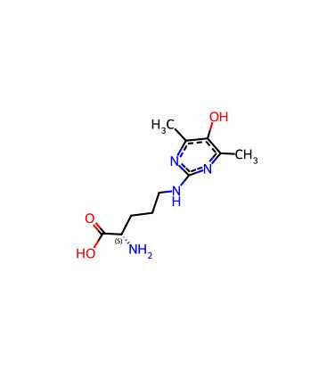 Cc1nc(NCCC[C@H](N)C(=O)O)nc(C)c1O